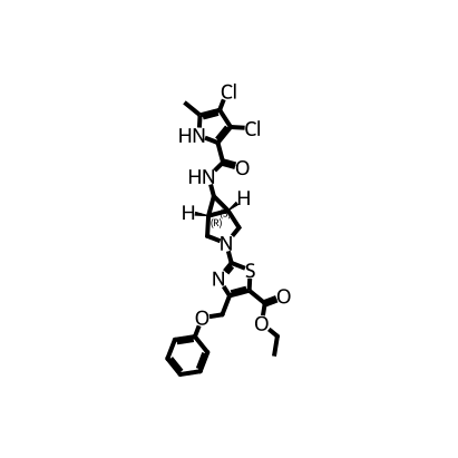 CCOC(=O)c1sc(N2C[C@@H]3C(NC(=O)c4[nH]c(C)c(Cl)c4Cl)[C@@H]3C2)nc1COc1ccccc1